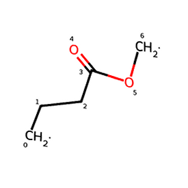 [CH2]CCC(=O)O[CH2]